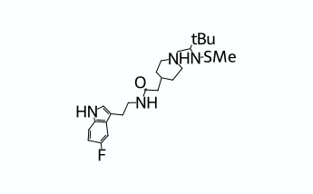 CSNC(CN1CCC(CC(=O)NCCc2c[nH]c3ccc(F)cc23)CC1)C(C)(C)C